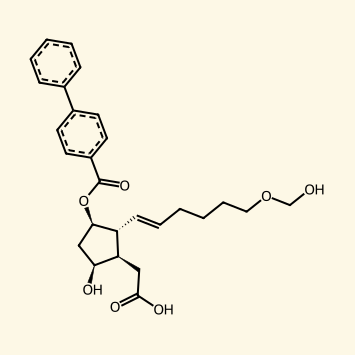 O=C(O)C[C@@H]1[C@@H](C=CCCCCOCO)[C@H](OC(=O)c2ccc(-c3ccccc3)cc2)C[C@@H]1O